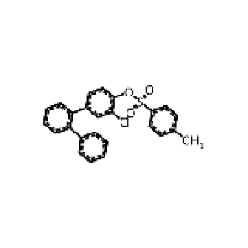 Cc1ccc(S(=O)(=O)Oc2ccc(-c3ccccc3-c3ccccc3)cc2Cl)cc1